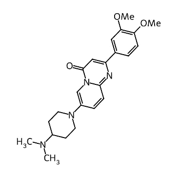 COc1ccc(-c2cc(=O)n3cc(N4CCC(N(C)C)CC4)ccc3n2)cc1OC